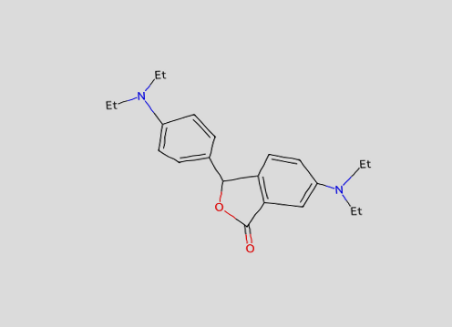 CCN(CC)c1ccc(C2OC(=O)c3cc(N(CC)CC)ccc32)cc1